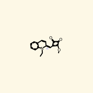 CCN1/C(=C/c2c(OC)c(=O)c2=O)C=Cc2ccccc21